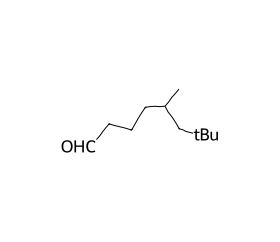 CC(CCCC=O)CC(C)(C)C